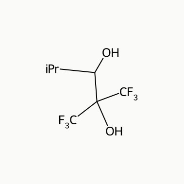 CC(C)C(O)C(O)(C(F)(F)F)C(F)(F)F